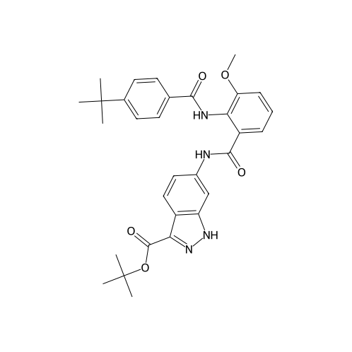 COc1cccc(C(=O)Nc2ccc3c(C(=O)OC(C)(C)C)n[nH]c3c2)c1NC(=O)c1ccc(C(C)(C)C)cc1